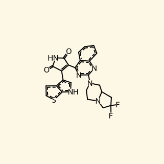 O=C1NC(=O)C(c2c[nH]c3sccc23)=C1c1nc(N2CCN3CC(F)(F)CC3C2)nc2ccccc12